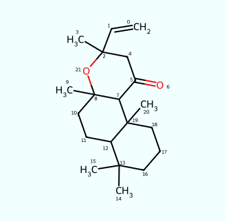 C=CC1(C)CC(=O)C2C(C)([CH]CC3C(C)(C)CCCC32C)O1